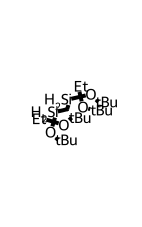 CCC(OC(C)(C)C)(OC(C)(C)C)[SiH2]C[SiH2]C(CC)(OC(C)(C)C)OC(C)(C)C